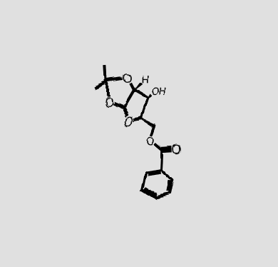 CC1(C)OC2O[C@H](COC(=O)c3ccccc3)[C@H](O)[C@H]2O1